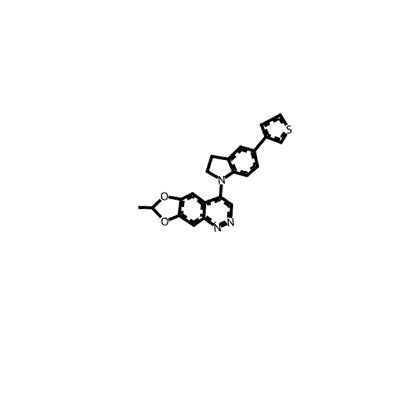 CC1Oc2cc3nncc(N4CCc5cc(-c6ccsc6)ccc54)c3cc2O1